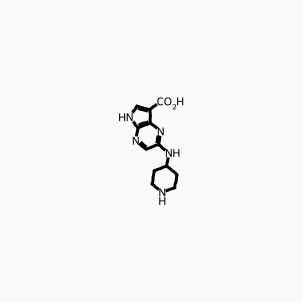 O=C(O)c1c[nH]c2ncc(NC3CCNCC3)nc12